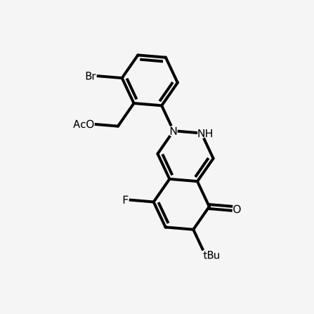 CC(=O)OCc1c(Br)cccc1N1C=C2C(F)=CC(C(C)(C)C)C(=O)C2=CN1